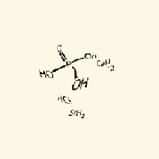 Cl.O=P(O)(O)O.[CaH2].[SrH2]